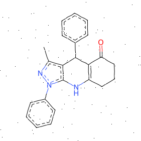 Cc1nn(-c2ccccc2)c2c1C(c1ccccc1)C1=C(CCCC1=O)N2